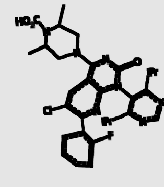 CC(C)c1ncnc(C(C)C)c1-n1c(=O)nc(N2CC(C)N(C(=O)O)C(C)C2)c2cc(Cl)c(-c3ccccc3F)nc21